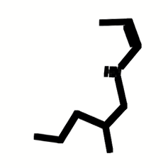 C/C=C\NCC(C)CCC